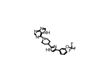 FC(F)(F)Oc1cccc(-c2c[nH]c(C3CCN(c4ncnc5nc[nH]c45)CC3)n2)c1